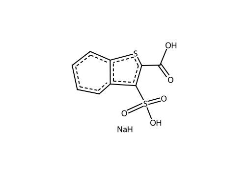 O=C(O)c1sc2ccccc2c1S(=O)(=O)O.[NaH]